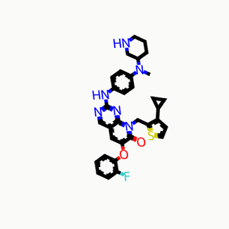 CN(c1ccc(Nc2ncc3cc(Oc4ccccc4F)c(=O)n(Cc4sccc4C4CC4)c3n2)cc1)C1CCCNC1